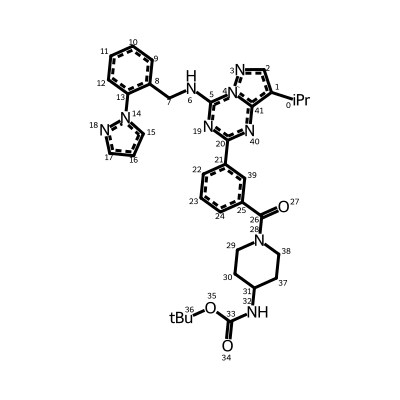 CC(C)c1cnn2c(NCc3ccccc3-n3cccn3)nc(-c3cccc(C(=O)N4CCC(NC(=O)OC(C)(C)C)CC4)c3)nc12